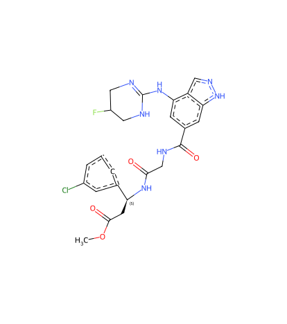 COC(=O)C[C@H](NC(=O)CNC(=O)c1cc(NC2=NCC(F)CN2)c2cn[nH]c2c1)c1cccc(Cl)c1